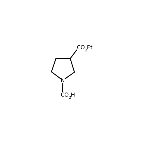 CCOC(=O)C1CCN(C(=O)O)C1